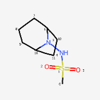 CS(=O)(=O)NN1C2CCCC1CC2